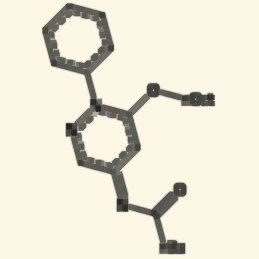 CCCCCCCCOc1c/c(=N\C(=O)CCCC)cnn1-c1ccccc1